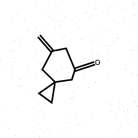 C=C1CC(=O)CC2(CC2)C1